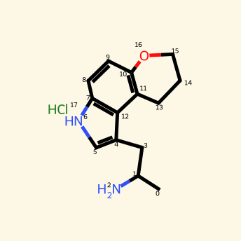 CC(N)Cc1c[nH]c2ccc3c(c12)CCCO3.Cl